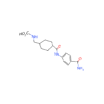 NC(=O)c1ccc(NC(=O)C2CCC(CNC(=O)O)CC2)cc1